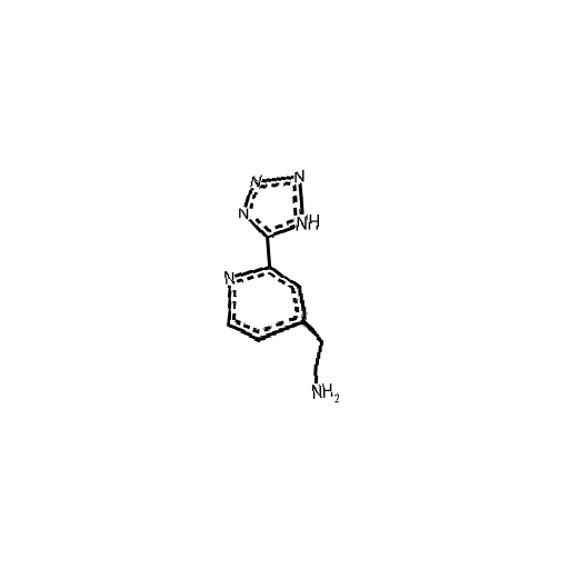 NCc1ccnc(-c2nnn[nH]2)c1